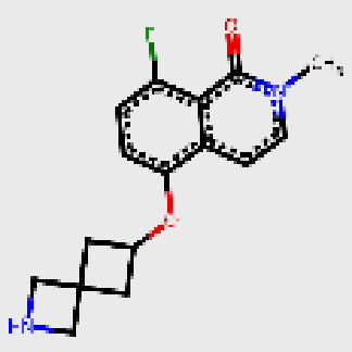 Cn1ccc2c(OC3CC4(CNC4)C3)ccc(F)c2c1=O